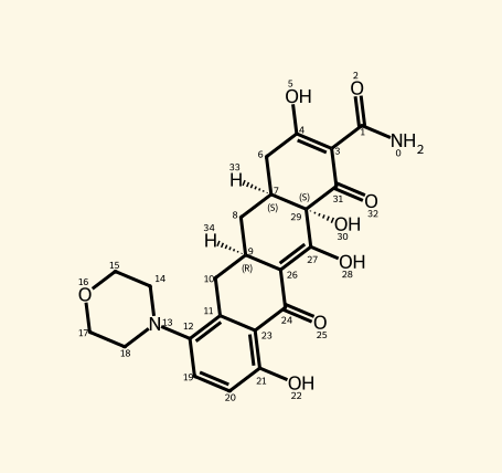 NC(=O)C1=C(O)C[C@@H]2C[C@@H]3Cc4c(N5CCOCC5)ccc(O)c4C(=O)C3=C(O)[C@]2(O)C1=O